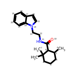 CC1CCCC(C)(C)C1C(=O)NCCn1ccc2ccccc21